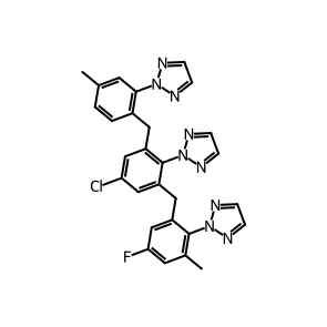 Cc1ccc(Cc2cc(Cl)cc(Cc3cc(F)cc(C)c3-n3nccn3)c2-n2nccn2)c(-n2nccn2)c1